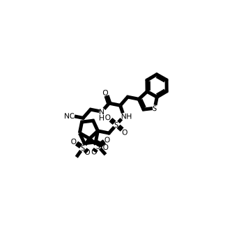 CS(=O)(=O)C1(S(C)(=O)=O)C2CCC1(CS(=O)(=O)NC(Cc1csc3ccccc13)C(=O)NCCC#N)C(=O)C2